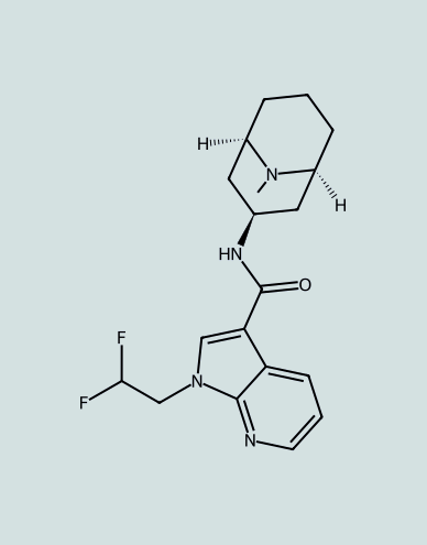 CN1[C@@H]2CCC[C@H]1C[C@@H](NC(=O)c1cn(CC(F)F)c3ncccc13)C2